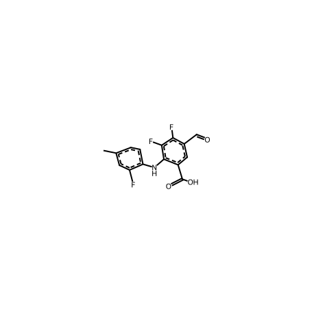 Cc1ccc(Nc2c(C(=O)O)cc(C=O)c(F)c2F)c(F)c1